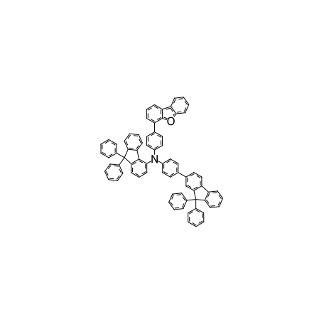 c1ccc(C2(c3ccccc3)c3ccccc3-c3ccc(-c4ccc(N(c5ccc(-c6cccc7c6oc6ccccc67)cc5)c5cccc6c5-c5ccccc5C6(c5ccccc5)c5ccccc5)cc4)cc32)cc1